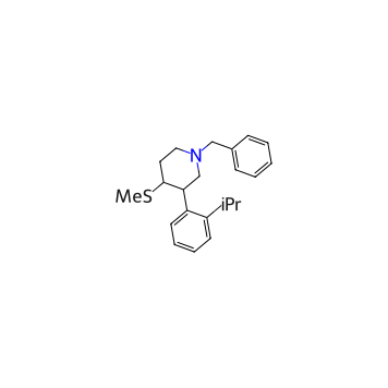 CSC1CCN(Cc2ccccc2)CC1c1ccccc1C(C)C